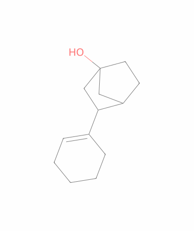 OC12CCC(C1)C(C1=CCCCC1)C2